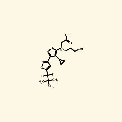 CC(C)(C)C(F)(F)c1cc(-c2noc([C@@H](CCCO)CC(=O)O)c2C2CC2)no1